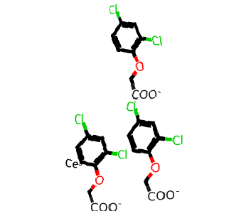 O=C([O-])COc1ccc(Cl)cc1Cl.O=C([O-])COc1ccc(Cl)cc1Cl.O=C([O-])COc1ccc(Cl)cc1Cl.[Ce+3]